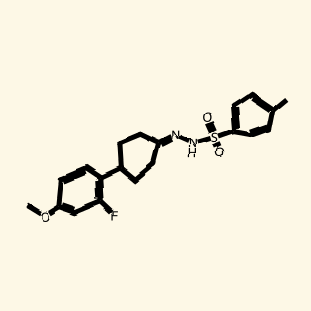 COc1ccc(C2CCC(=NNS(=O)(=O)c3ccc(C)cc3)CC2)c(F)c1